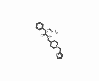 NC[C@H](C(=O)NCC1CCN(Cc2cccs2)CC1)c1ccccc1